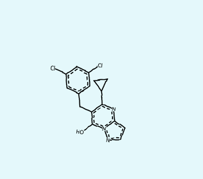 Oc1c(Cc2cc(Cl)cc(Cl)c2)c(C2CC2)nc2ccnn12